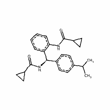 CC(C)c1ccc([C@@H](NC(=O)C2CC2)c2ccccc2NC(=O)C2CC2)cc1